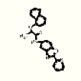 CC(Oc1cccc2ccccc12)C(=O)Nc1ccc2oc(-c3ccccn3)nc2c1